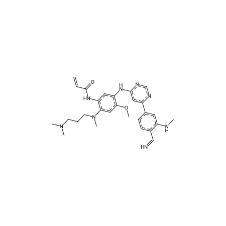 C=CC(=O)Nc1cc(Nc2cc(-c3ccc(C=N)c(NC)c3)ncn2)c(OC)cc1N(C)CCCN(C)C